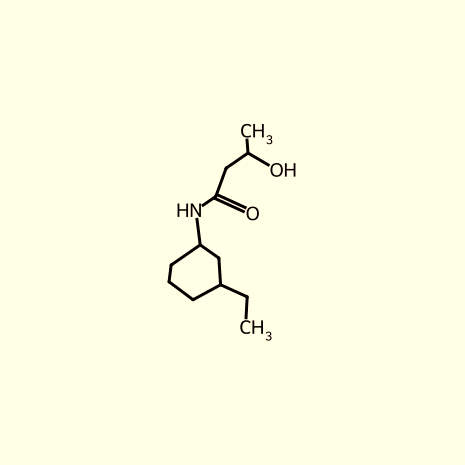 CCC1CCCC(NC(=O)CC(C)O)C1